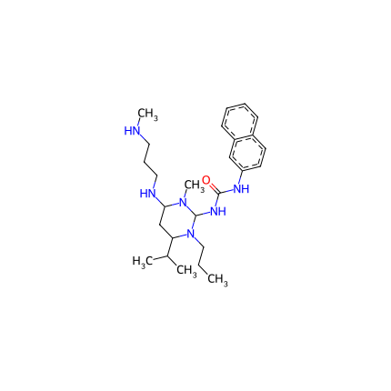 CCCN1C(C(C)C)CC(NCCCNC)N(C)C1NC(=O)Nc1ccc2ccccc2c1